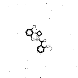 O=C(N[C@@H]1CC[C@@H]1c1c(Cl)cccc1Cl)c1ccccc1C(F)(F)F